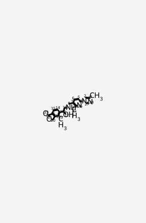 Cc1cn(-c2ccc(CNCC(O)c3ccc4c(c3C)COC4=O)c(C)n2)cn1